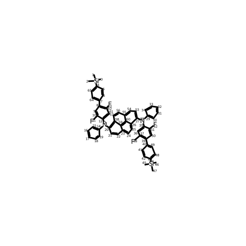 C[Si](C)(C)c1ccc(-c2cc(F)c(N(c3ccccc3)c3ccc4ccc5c(N(c6ccccc6)c6cc(F)c(-c7ccc([Si](C)(C)C)cc7)cc6F)ccc6ccc3c4c65)cc2F)cc1